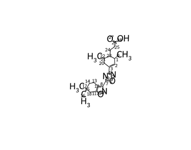 CC1C=C(c2noc(-c3noc4c3CCC(C)(C)C4)n2)CC(C)C1CCC(=O)O